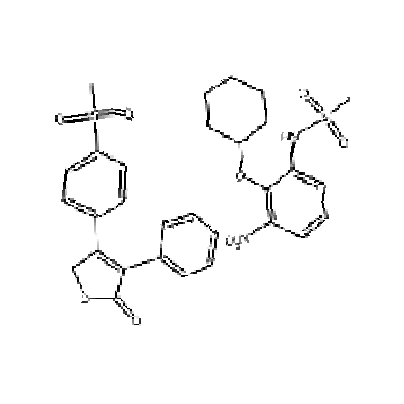 CS(=O)(=O)Nc1cccc([N+](=O)[O-])c1OC1CCCCC1.CS(=O)(=O)c1ccc(C2=C(c3ccccc3)C(=O)OC2)cc1